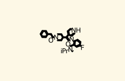 CC(C)N(C)C(=O)c1cc(F)ccc1-n1cc(C2CCN(C(=O)Cc3ccccc3)CC2)c2c1=CNCC=2